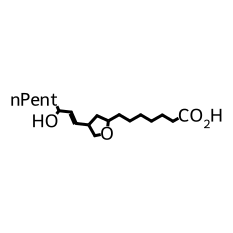 CCCCCC(O)C=CC1COC(CCCCCCC(=O)O)C1